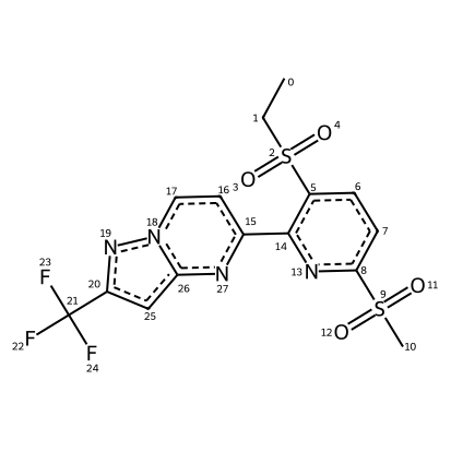 CCS(=O)(=O)c1ccc(S(C)(=O)=O)nc1-c1ccn2nc(C(F)(F)F)cc2n1